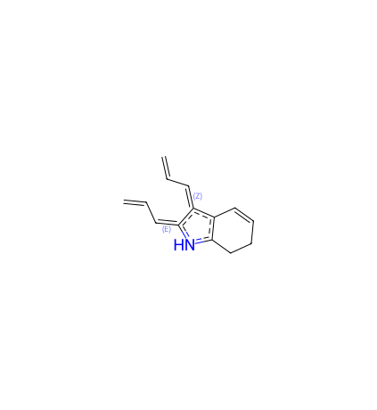 C=C/C=c1/c2c([nH]/c1=C/C=C)CCC=C2